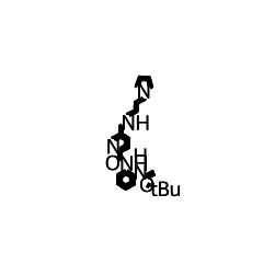 C=C(Nc1ccccc1NC(=O)c1ccc(CNCCCCN2CCCC2)cn1)OC(C)(C)C